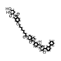 O=C1NC(O)CCC1N1Cc2cc(OCCCCCCCC(=O)N3CCC4(CC3)CCN(c3cncc(Nc5ncc(Cl)c(-c6cccc(-c7ccccc7)c6)n5)c3)C4=O)ccc2C1=O